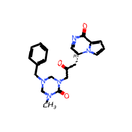 CN1CN(Cc2ccccc2)CN(CC(=O)C[C@@H]2C=NC(=O)c3cccn32)C1=O